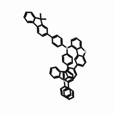 CC1(C)c2ccccc2-c2ccc(-c3ccc(N(c4ccc(-c5ccc(-c6ccccc6)cc5)cc4)c4cccc5sc6ccc(-c7ccc8c(c7)c7ccccc7n8-c7ccccc7)cc6c45)cc3)cc21